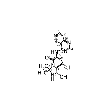 CC1(C)NC(O)c2c(Cl)cc(Nc3ncnc4ccnnc34)c(=O)n21